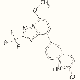 COc1ccc(-c2ccc3[nH]c(=O)ccc3c2)c2nc(C(F)(F)F)nn12